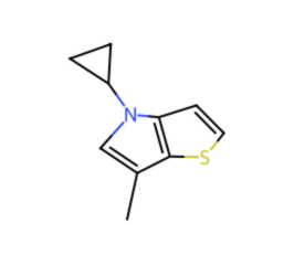 Cc1cn(C2CC2)c2ccsc12